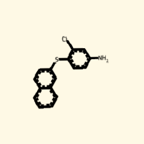 Nc1ccc(Sc2ccc3ccccc3c2)c(Cl)c1